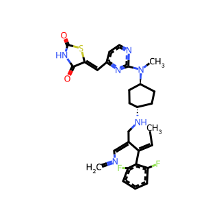 C=N/C=C(CN[C@H]1CC[C@H](N(C)c2nccc(/C=C3\SC(=O)NC3=O)n2)CC1)\C(=C/C)c1c(F)cccc1F